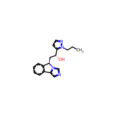 CCCn1nccc1[C@H](O)C[C@@H]1c2ccccc2-c2cncn21